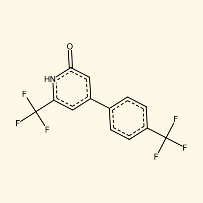 O=c1cc(-c2ccc(C(F)(F)F)cc2)cc(C(F)(F)F)[nH]1